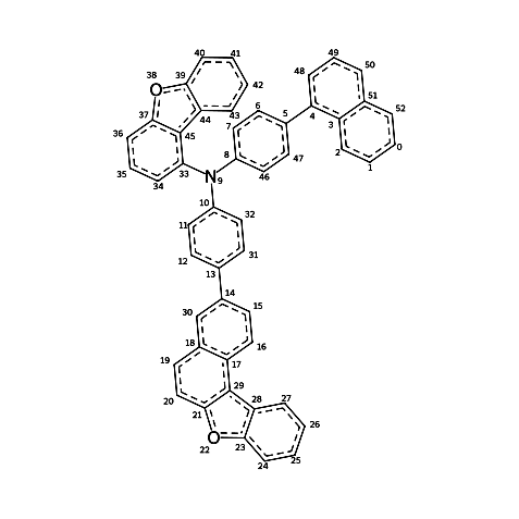 c1ccc2c(-c3ccc(N(c4ccc(-c5ccc6c(ccc7oc8ccccc8c76)c5)cc4)c4cccc5oc6ccccc6c45)cc3)cccc2c1